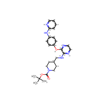 CC(C)(C)OC(=O)N1CCC(CNc2nccnc2Oc2ccc(Nc3ccccn3)cc2)CC1